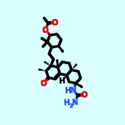 CC(=O)O[C@H]1CC[C@@H](C)C(CC[C@]2(C)[C@@H](C)C(=O)C=C3[C@@H]4C[C@@](C)(NC(N)=O)CC[C@]4(C)CC[C@]32C)C1(C)C